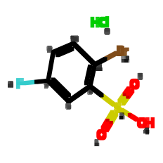 Cl.O=S(=O)(O)c1cc(F)ccc1Br